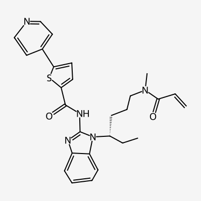 C=CC(=O)N(C)CCC[C@H](CC)n1c(NC(=O)c2ccc(-c3ccncc3)s2)nc2ccccc21